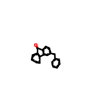 O=C1c2ccccc2-c2cc(Cc3ccccc3)ccc21